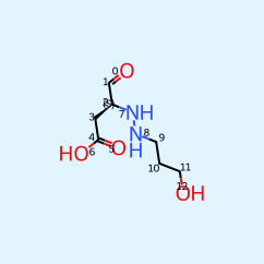 O=C[C@H](CC(=O)O)NNCCCO